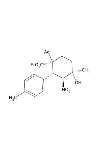 CCOC(=O)[C@]1(C(C)=O)CC[C@@](C)(O)[C@@H]([N+](=O)[O-])[C@@H]1c1ccc(C)cc1